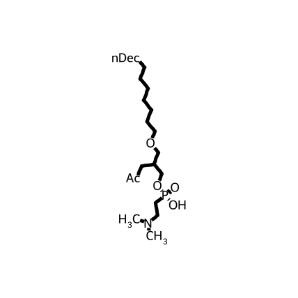 CCCCCCCCCCCCCCCCCOCC(COP(=O)(O)CCN(C)C)CC(C)=O